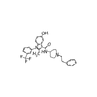 Cc1c(C(=O)NC2CCN(CCc3ccccc3)CC2)c2cc(O)ccc2n1-c1cccc(C(F)(F)F)c1